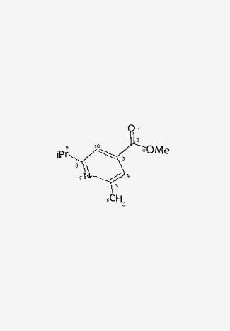 COC(=O)c1cc(C)nc(C(C)C)c1